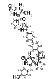 COCN[C@H](C(=O)N1CCCC1c1ncc(-c2ccc(-c3ccc(-c4cnc([C@@H]5CCCN5C(=O)[C@H](Cc5ccc(O)cc5)NC(=O)O)[nH]4)cc3)cc2)[nH]1)C(C)C